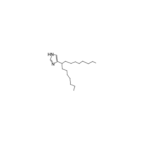 CCCCCCCCC(CCCCCCC)c1c[nH]cn1